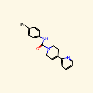 CC(C)c1ccc(NC(=O)N2CC=C(c3ccccn3)CC2)cc1